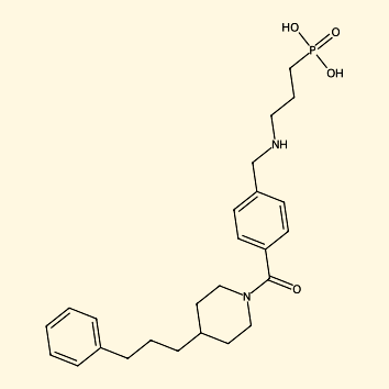 O=C(c1ccc(CNCCCP(=O)(O)O)cc1)N1CCC(CCCc2ccccc2)CC1